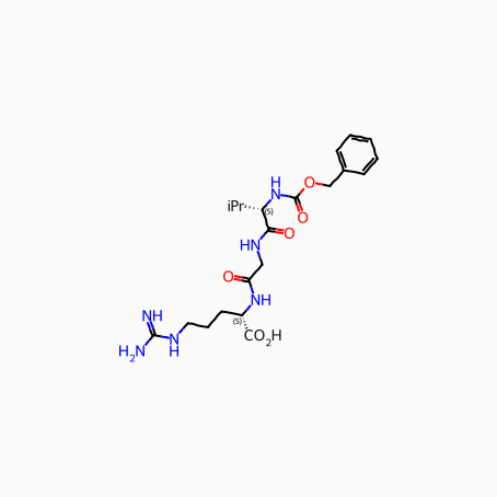 CC(C)[C@H](NC(=O)OCc1ccccc1)C(=O)NCC(=O)N[C@@H](CCCNC(=N)N)C(=O)O